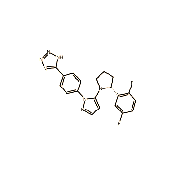 Fc1ccc(F)c([C@H]2CCCN2c2ccnn2-c2ccc(-c3nnn[nH]3)cc2)c1